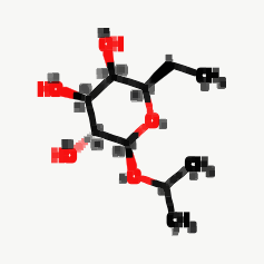 CC[C@H]1O[C@@H](OC(C)C)[C@H](O)[C@@H](O)[C@H]1O